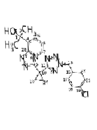 CC(C)(O)c1cccn2c(C3(c4nnn(CC5C=CC(Cl)=CC5)n4)CC3)nnc12